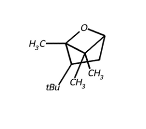 CC(C)(C)C1CC2OC1(C)C2(C)C